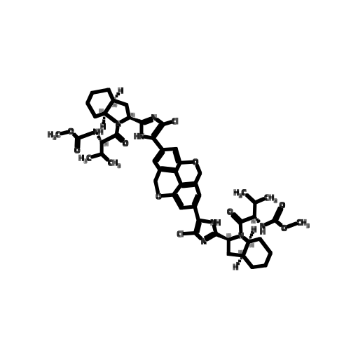 COC(=O)N[C@H](C(=O)N1[C@H](c2nc(Cl)c(-c3cc4c5c(c3)OCc3cc(-c6[nH]c([C@@H]7C[C@@H]8CCCC[C@@H]8N7C(=O)[C@@H](NC(=O)OC)C(C)C)nc6Cl)cc(c3-5)OC4)[nH]2)C[C@@H]2CCCC[C@@H]21)C(C)C